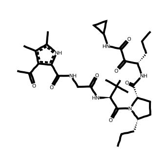 CCC[C@H]1CC[C@@H](C(=O)N[C@@H](CCC)C(=O)C(=O)NC2CC2)N1C(=O)[C@@H](NC(=O)CNC(=O)c1[nH]c(C)c(C)c1C(C)=O)C(C)(C)C